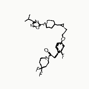 CC(C)c1noc(N2CCC(C3C[C@H]3CCOc3ccc(CC(=O)N4CCC(F)(F)CC4)c(F)c3)CC2)n1